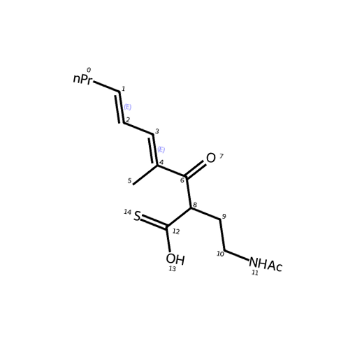 CCC/C=C/C=C(\C)C(=O)C(CCNC(C)=O)C(O)=S